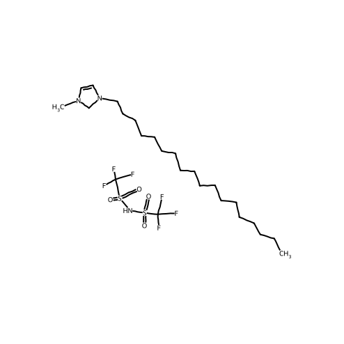 CCCCCCCCCCCCCCCCCCN1C=CN(C)C1.O=S(=O)(NS(=O)(=O)C(F)(F)F)C(F)(F)F